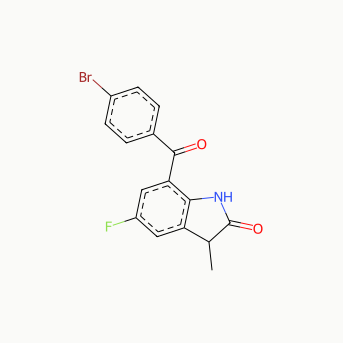 CC1C(=O)Nc2c(C(=O)c3ccc(Br)cc3)cc(F)cc21